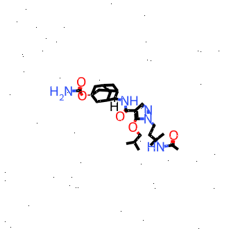 CC(=O)NC(C)(C)CCn1ncc(C(=O)N[C@H]2C3CC4CC2C[C@](OC(N)=O)(C4)C3)c1OCC(C)C